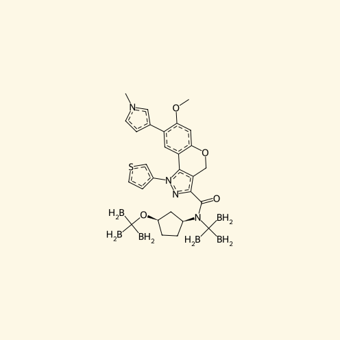 BC(B)(B)O[C@@H]1CC[C@H](N(C(=O)c2nn(-c3ccsc3)c3c2COc2cc(OC)c(-c4ccn(C)c4)cc2-3)C(B)(B)B)C1